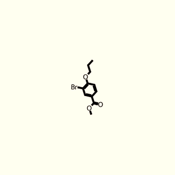 CCCOc1ccc(C(=O)OC)cc1Br